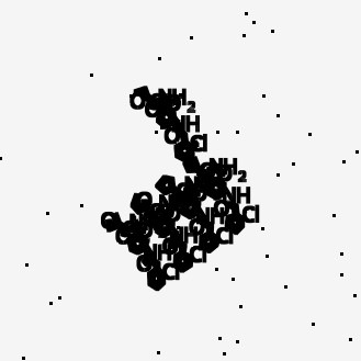 NS(=O)(=O)c1cc(NC(=O)Cc2ccccc2Cl)ccc1OCC1CCC1.NS(=O)(=O)c1cc(NC(=O)Cc2ccccc2Cl)ccc1OCC1CCCC1.NS(=O)(=O)c1cc(NC(=O)Cc2ccccc2Cl)ccc1OCC1CCCO1.NS(=O)(=O)c1cc(NC(=O)Cc2ccccc2Cl)ccc1OCC1CCO1.NS(=O)(=O)c1cc(NC(=O)Cc2ccccc2Cl)ccc1OCC1COC1